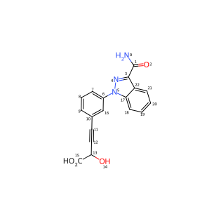 NC(=O)c1nn(-c2cccc(C#CC(O)C(=O)O)c2)c2ccccc12